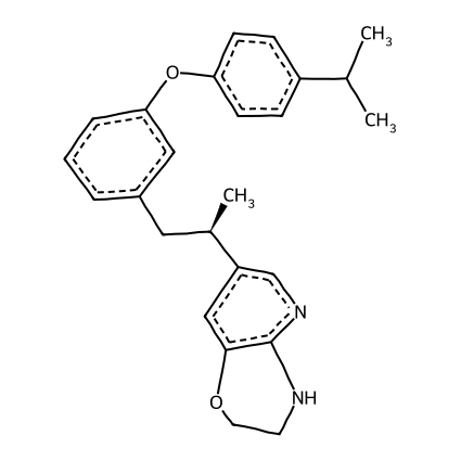 CC(C)c1ccc(Oc2cccc(C[C@@H](C)c3cnc4c(c3)OCCN4)c2)cc1